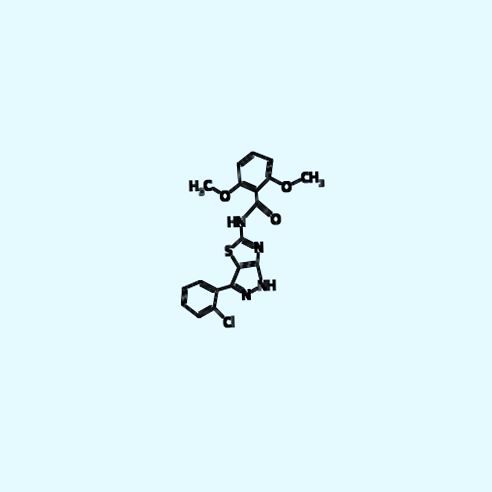 COc1cccc(OC)c1C(=O)Nc1nc2[nH]nc(-c3ccccc3Cl)c2s1